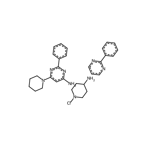 NC1CCN(Cl)CC1.Nc1cc(N2CCCCC2)nc(-c2ccccc2)n1.c1ccc(-c2ncccn2)cc1